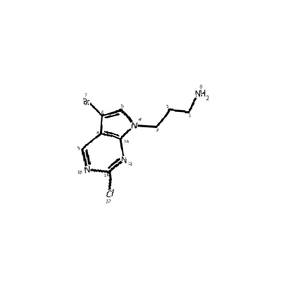 NCCCn1cc(Br)c2cnc(Cl)nc21